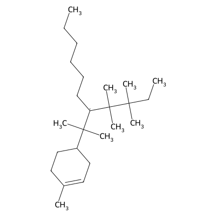 CCCCCC[C](C(C)(C)C1CC=C(C)CC1)C(C)(C)C(C)(C)CC